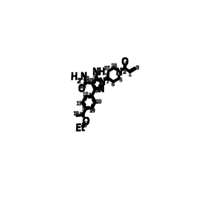 C=CC(=O)N1CCC(n2nc(-c3ccc(C(C)OCC)cc3)c(C(N)=O)c2N)CC1